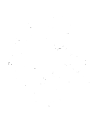 N[C@@H](Cc1c[nH]c2ccccc12)C(=O)O.N[C@@H](Cc1ccccc1)C(=O)N[C@@H](Cc1c[nH]c2ccccc12)C(=O)O